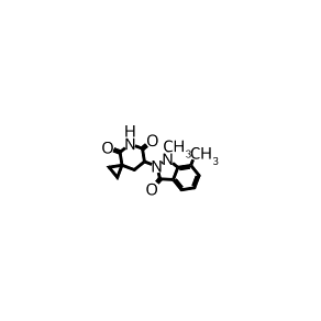 Cc1cccc2c(=O)n(C3CC4(CC4)C(=O)NC3=O)n(C)c12